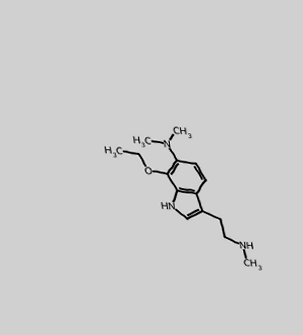 CCOc1c(N(C)C)ccc2c(CCNC)c[nH]c12